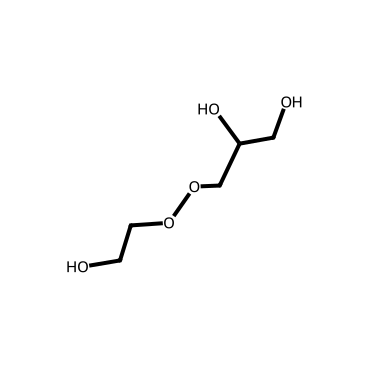 OCCOOCC(O)CO